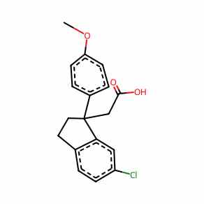 COc1ccc(C2(CC(=O)O)CCc3ccc(Cl)cc32)cc1